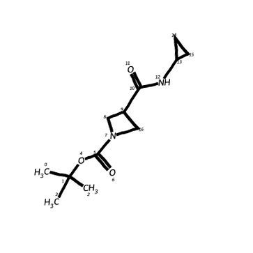 CC(C)(C)OC(=O)N1CC(C(=O)NC2CC2)C1